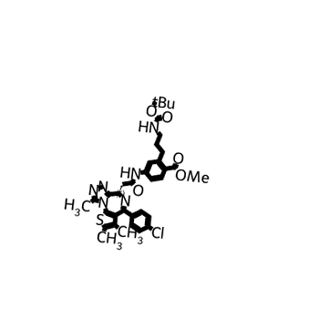 COC(=O)c1ccc(NC(=O)C[C@@H]2N=C(c3ccc(Cl)cc3)c3c(sc(C)c3C)-n3c(C)nnc32)cc1CCCNC(=O)OC(C)(C)C